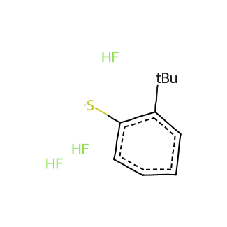 CC(C)(C)c1ccccc1[S].F.F.F